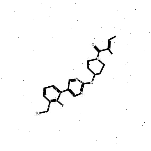 C/C=C(\C)C(=O)N1CCC(Oc2ncc(-c3cccc(CO)c3F)cn2)CC1